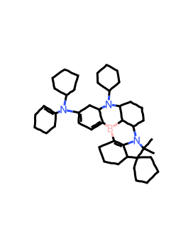 CC1(C)N2C3=C(CCCC3C13CCCCC3)B1C3=CC=C(N(C4=CCCCC4)C4CCCCC4)CC3N(C3CCCCC3)C3CCCC2C13